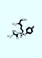 C/C(=C\CCP(=O)(OC(=O)[C@H](C)N)Oc1ccc(I)cc1)CO